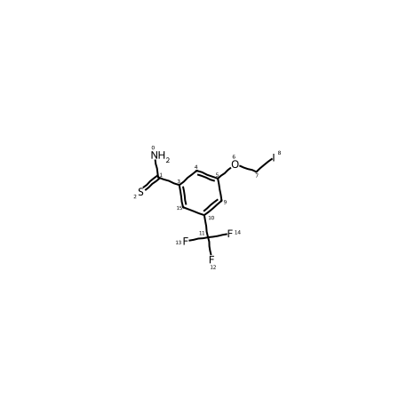 NC(=S)c1cc(OCI)cc(C(F)(F)F)c1